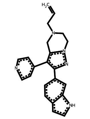 C=CCN1CCn2nc(-c3ccc4cc[nH]c4c3)c(-c3ccncc3)c2C1